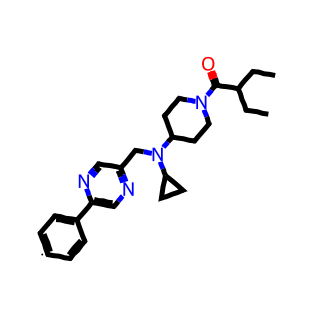 CCC(CC)C(=O)N1CCC(N(Cc2cnc(-c3cc[c]cc3)cn2)C2CC2)CC1